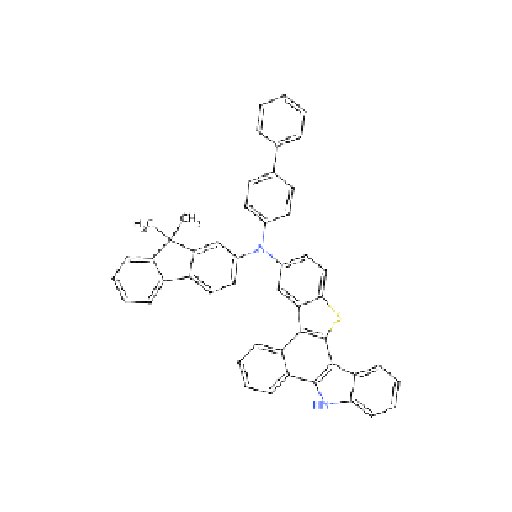 CC1(C)c2ccccc2-c2ccc(N(c3ccc(-c4ccccc4)cc3)c3ccc4sc5c(c4c3)c3ccccc3c3[nH]c4ccccc4c35)cc21